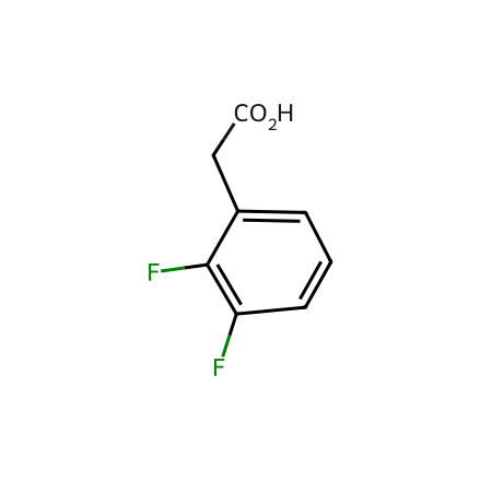 O=C(O)Cc1cccc(F)c1F